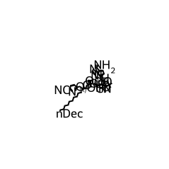 CCCCCCCCCCCCCCCCCCCC[C@H](COP(=O)(O)OC[C@@]1(C#N)O[C@@H](c2ccc3c(N)ncnn23)[C@@H]2OC(C)(C)O[C@@H]21)Oc1ccc(C#N)nc1